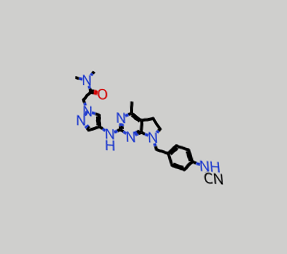 Cc1nc(Nc2cnn(CC(=O)N(C)C)c2)nc2c1CCN2Cc1ccc(NC#N)cc1